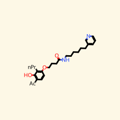 CCCc1c(OCCCC(=O)NCCCCCCc2cccnc2)ccc(C(C)=O)c1O